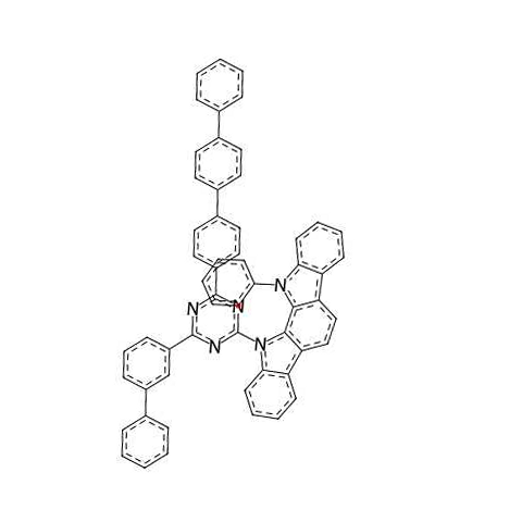 c1ccc(-c2ccc(-c3ccc(-c4nc(-c5cccc(-c6ccccc6)c5)nc(-n5c6ccccc6c6ccc7c8ccccc8n(-c8ccccc8)c7c65)n4)cc3)cc2)cc1